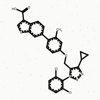 Cc1cc(OCc2c(C3CC3)nnn2-c2c(Cl)cccc2Cl)ccc1-c1ccc2c(C(=O)O)csc2c1